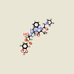 CC[C@](Cc1ccccc1)(NC[C@@](C)(O)CS(=O)(=O)c1ccc2c(c1)OCO2)NC(=O)[C@@H](NC(=O)CN1CCCC1)C(C)C